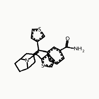 NC(=O)c1cccc(C(=C2CC3CCC(C2)N3Cc2cccs2)c2ccsc2)c1